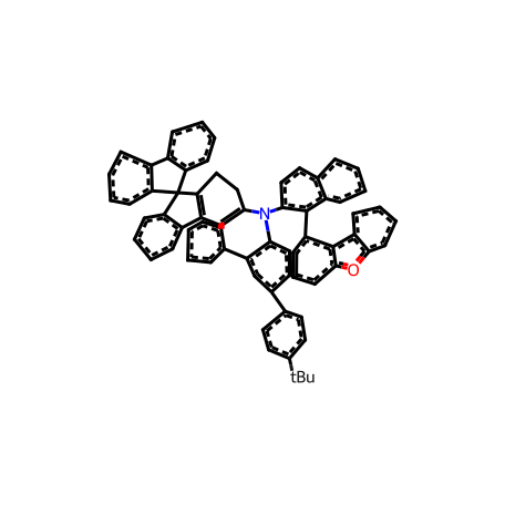 CC(C)(C)c1ccc(-c2ccc(N(C3=CC4=C(CC3)C3(c5ccccc54)c4ccccc4-c4ccccc43)c3ccc4ccccc4c3-c3c#ccc4oc5ccccc5c34)c(-c3ccccc3)c2)cc1